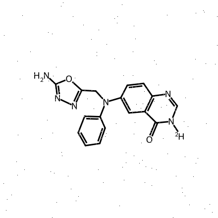 [2H]n1cnc2ccc(N(Cc3nnc(N)o3)c3ccccc3)cc2c1=O